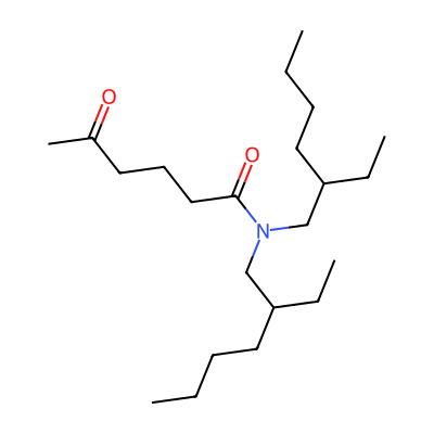 CCCCC(CC)CN(CC(CC)CCCC)C(=O)CCCC(C)=O